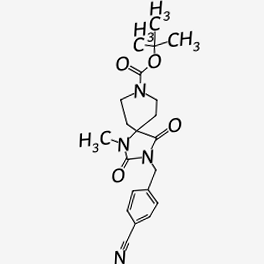 CN1C(=O)N(Cc2ccc(C#N)cc2)C(=O)C12CCN(C(=O)OC(C)(C)C)CC2